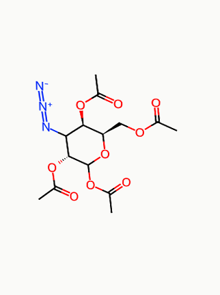 CC(=O)OC[C@H]1OC(OC(C)=O)[C@H](OC(C)=O)C(N=[N+]=[N-])[C@H]1OC(C)=O